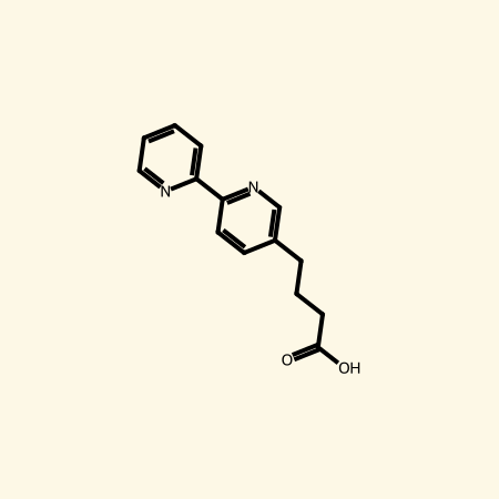 O=C(O)CCCc1ccc(-c2ccccn2)nc1